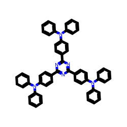 C1=CC(N(c2ccccc2)c2ccc(-c3nc(-c4ccc(N(c5ccccc5)c5ccccc5)cc4)nc(-c4ccc(N(c5ccccc5)c5ccccc5)cc4)n3)cc2)=CCC1